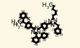 CCC/C=C\Cc1nc(Cc2ccccc2)nc(-c2ccc(-c3nc(-c4ccc5c(c4)Sc4ccccc4C5(C)C)nc(-c4ccccc4-c4ccccc4)n3)cc2)n1